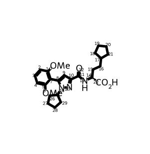 COc1cccc(OC)c1-c1cc(C(=O)N[C@@H](CCC2CCCC2)C(=O)O)nn1C1CCCC1